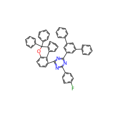 Fc1ccc(-c2nc(-c3cc(-c4ccccc4)cc(-c4ccccc4)c3)nc(-c3cccc4c3-c3ccccc3C(c3ccccc3)(c3ccccc3)O4)n2)cc1